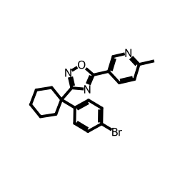 Cc1ccc(-c2nc(C3(c4ccc(Br)cc4)CCCCC3)no2)cn1